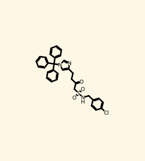 O=C(CCc1cn(C(c2ccccc2)(c2ccccc2)c2ccccc2)cn1)CS(=O)(=O)NCc1ccc(Cl)cc1